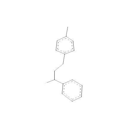 [CH2]CC(CCc1ccc(F)cc1)c1ccccc1